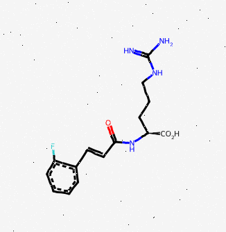 N=C(N)NCCC[C@H](NC(=O)C=Cc1ccccc1F)C(=O)O